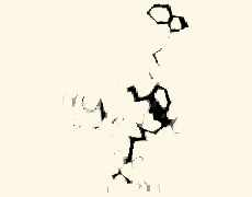 CCCc1c(OCCCOc2cccc3c2CCCC3)ccc2c1OC(CCC(=O)OC(CO)CO)(CCC(=O)OC(CO)CO)CC2=O